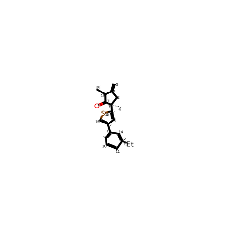 C=C1C[C@@](C)(c2cc(-c3cccc(CC)c3)cs2)C(=O)C1C